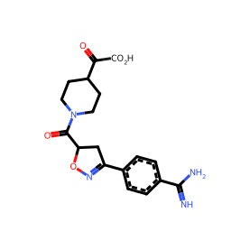 N=C(N)c1ccc(C2=NOC(C(=O)N3CCC(C(=O)C(=O)O)CC3)C2)cc1